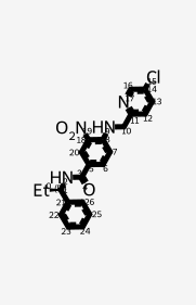 CC[C@@H](NC(=O)c1ccc(NCc2ccc(Cl)cn2)c([N+](=O)[O-])c1)c1ccccc1